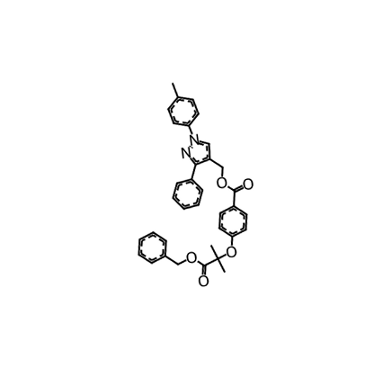 Cc1ccc(-n2cc(COC(=O)c3ccc(OC(C)(C)C(=O)OCc4ccccc4)cc3)c(-c3ccccc3)n2)cc1